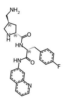 NC[C@@H]1CN[C@@H](C(=O)N[C@H](Cc2ccc(F)cc2)C(=O)Nc2ccc3cccnc3c2)C1